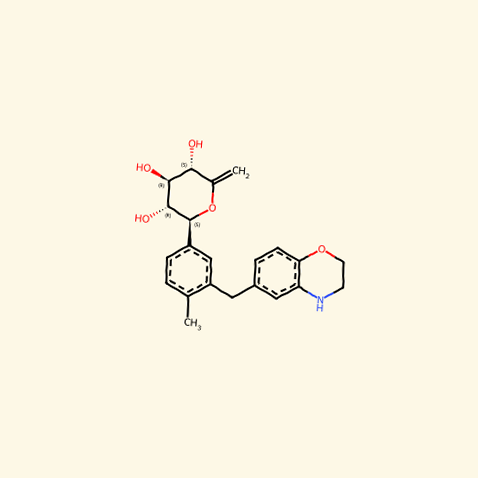 C=C1O[C@@H](c2ccc(C)c(Cc3ccc4c(c3)NCCO4)c2)[C@H](O)[C@@H](O)[C@@H]1O